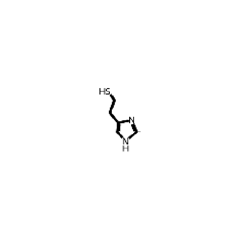 SCCc1c[nH][c]n1